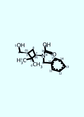 CC1(C)[C@@H](CO)C[C@H]1N(Cc1ccccc1)C(=O)O